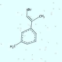 CC(=CC(C)(C)C)c1cccc(C)c1